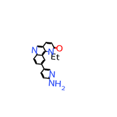 CCn1c(=O)ccc2cnc3ccc(-c4ccc(N)nc4)cc3c21